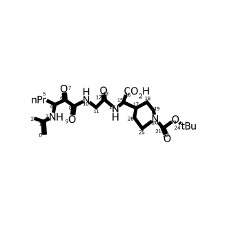 C=C(C)NC(CCC)C(=O)C(=O)NCC(=O)NC(C(=O)O)C1CCN(C(=O)OC(C)(C)C)CC1